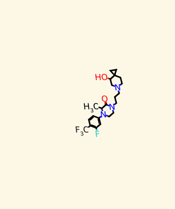 CC1C(=O)N(CCCN2CCC3(CC3)C(O)C2)CCN1c1ccc(C(F)(F)F)c(F)c1